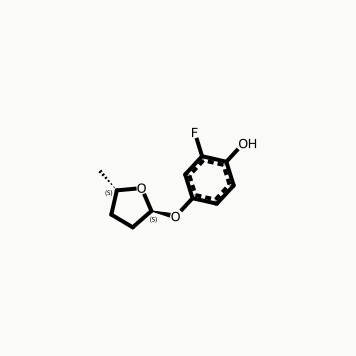 C[C@H]1CC[C@H](Oc2ccc(O)c(F)c2)O1